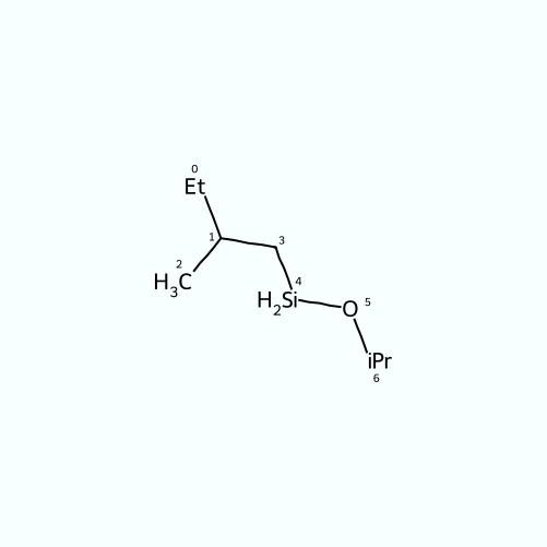 CCC(C)C[SiH2]OC(C)C